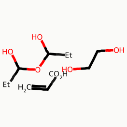 C=CC(=O)O.CCC(O)OC(O)CC.OCCO